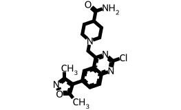 Cc1noc(C)c1-c1ccc2nc(Cl)nc(CN3CCC(C(N)=O)CC3)c2c1